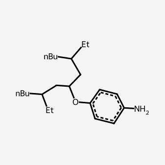 CCCCC(CC)CC(CC(CC)CCCC)Oc1ccc(N)cc1